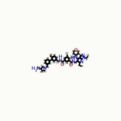 CCc1nc2c(cnn2CC)c(NC2CCOCC2)c1CNC(=O)c1cc(C)cc(C(=O)NCc2ccc(C)c(-c3cccc(CN4CC[C@H](N)C4)c3)c2)c1